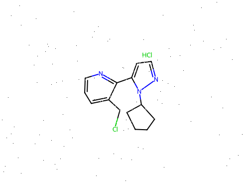 Cl.ClCc1cccnc1-c1ccnn1C1CCCC1